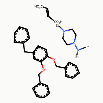 CCN1CCN(N(CC)CC)CC1.O=C(O)C=CC(=O)O.c1ccc(COc2ccc(Cc3ccccc3)cc2OCc2ccccc2)cc1